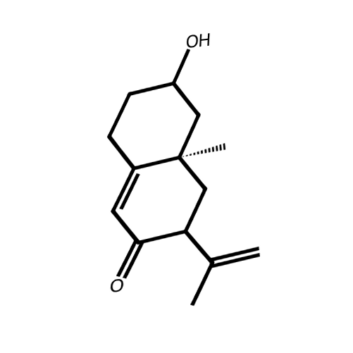 C=C(C)C1C[C@]2(C)CC(O)CCC2=CC1=O